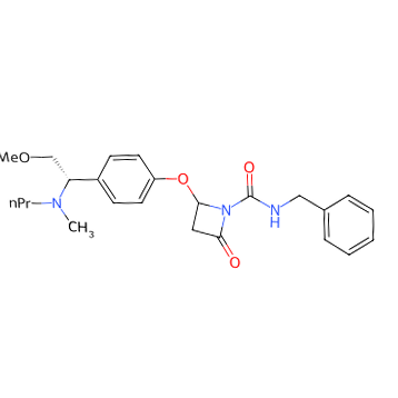 CCCN(C)[C@H](COC)c1ccc(OC2CC(=O)N2C(=O)NCc2ccccc2)cc1